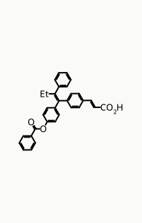 CCC(=C(c1ccc(C=CC(=O)O)cc1)c1ccc(OC(=O)c2ccccc2)cc1)c1ccccc1